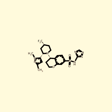 Cc1cc([C@@H]2C[C@H](C(F)(F)F)CCN2[C@H]2CCOc3cc(S(=O)(=O)Nc4ncns4)ccc32)n(C)n1